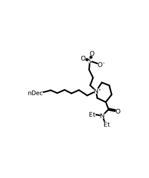 CCCCCCCCCCCCCCCC[N+]1(CCCS(=O)(=O)[O-])CCCC(C(=O)N(CC)CC)C1